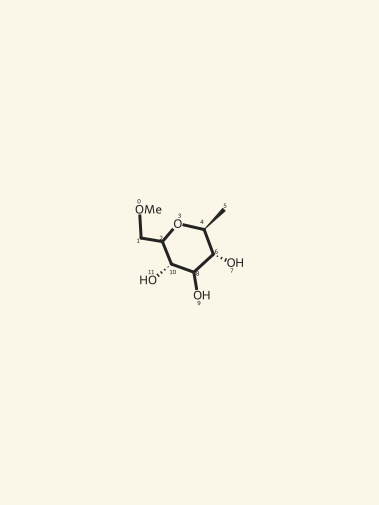 COCC1O[C@@H](C)[C@H](O)C(O)[C@@H]1O